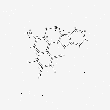 Cn1c(=O)c2c(-c3cc4ccccc4s3)c(CN)c(N)nc2n(C)c1=O